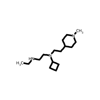 CCNCCN(CCC1CCN(C)CC1)C1CCC1